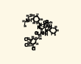 CC(=O)NC1(Nc2ccccc2)C(=O)N(c2ccccc2)N=C1NC(=O)Cc1cc(Cl)c(Cl)c(Cl)c1.CCNCC